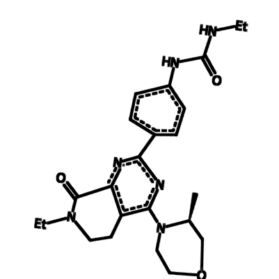 CCNC(=O)Nc1ccc(-c2nc3c(c(N4CCOC[C@@H]4C)n2)CCN(CC)C3=O)cc1